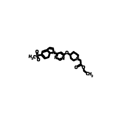 CCOC(=O)CN1CCC(Oc2cc(N3C=CC4=CC(S(C)(=O)=O)=CCC43)ncn2)CC1